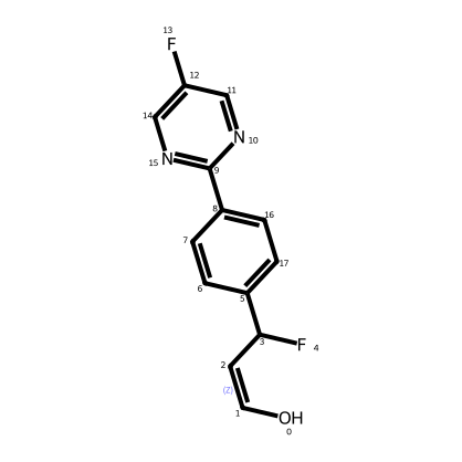 O/C=C\C(F)c1ccc(-c2ncc(F)cn2)cc1